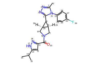 Cc1nnc(C2[C@H]3CN(C(=O)c4cc(C(C)C)[nH]n4)C[C@@H]23)n1-c1ccc(F)cc1